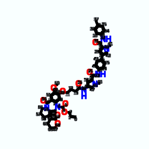 C=CCOC(=O)N1c2cc(OCCCC(=O)Nc3cc(C(=O)Nc4ccc(-c5cc(C(=O)Nc6ccc(C)cc6)n(C)c5)cc4)n(C)c3)c(OC)cc2C(=O)N2CCCC[C@H]2C1OC1CCCCO1